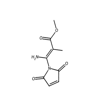 COC(=O)C(C)=C(N)N1C(=O)C=CC1=O